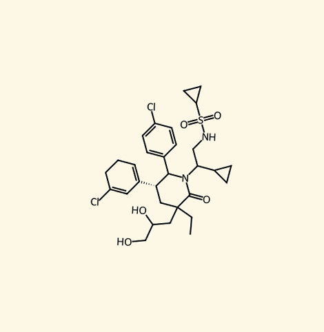 CCC1(CC(O)CO)C[C@H](C2=CCCC(Cl)=C2)C(c2ccc(Cl)cc2)N(C(CNS(=O)(=O)C2CC2)C2CC2)C1=O